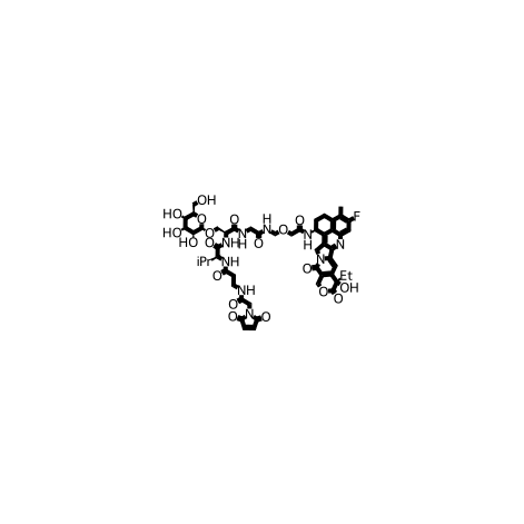 CC[C@@]1(O)C(=O)OCc2c1cc1n(c2=O)Cc2c-1nc1cc(F)c(C)c3c1c2[C@@H](NC(=O)COCNC(=O)CNC(=O)[C@H](CO[C@@H]1O[C@H](CO)[C@H](O)[C@H](O)[C@H]1O)NC(=O)[C@@H](NC(=O)CCNC(=O)CN1C(=O)C=CC1=O)C(C)C)CC3